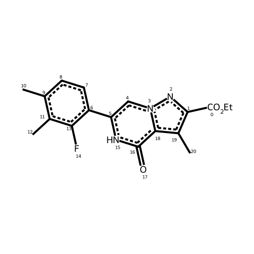 CCOC(=O)c1nn2cc(-c3ccc(C)c(C)c3F)[nH]c(=O)c2c1C